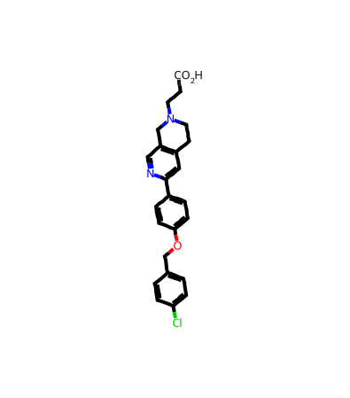 O=C(O)CCN1CCc2cc(-c3ccc(OCc4ccc(Cl)cc4)cc3)ncc2C1